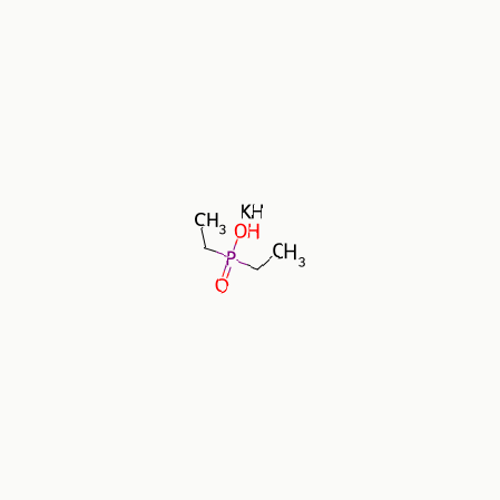 CCP(=O)(O)CC.[KH]